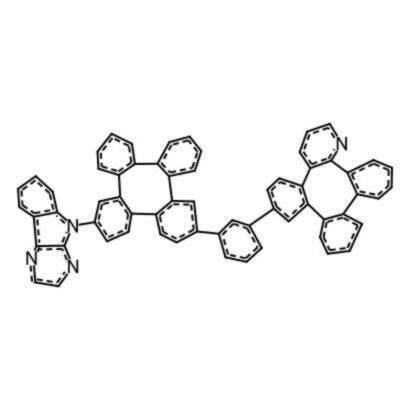 c1cc(-c2ccc3c(c2)-c2ccccc2-c2ccccc2-c2cc(-n4c5ccccc5c5nccnc54)ccc2-3)cc(-c2ccc3c(c2)-c2ccccc2-c2ccccc2-c2ncccc2-3)c1